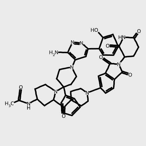 CC(=O)NC1CCN(C2(c3ccccc3)CCN(c3cc(-c4ccccc4O)nnc3N)CC2)C(C(=O)C2CCN(c3ccc4c(c3)C(=O)N(C3CCC(=O)NC3=O)C4=O)CC2)C1